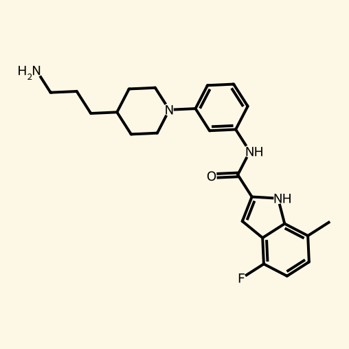 Cc1ccc(F)c2cc(C(=O)Nc3cccc(N4CCC(CCCN)CC4)c3)[nH]c12